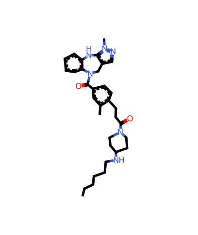 CCCCCCNC1CCN(C(=O)CCc2ccc(C(=O)N3Cc4cnn(C)c4Nc4ccccc43)cc2C)CC1